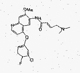 COc1cc2nccc(OC3=CCC(F)C(Cl)=C3)c2cc1NC(=O)/C=C/CN(C)C